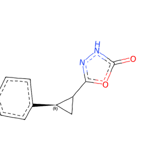 O=c1[nH]nc(C2C[C@H]2c2ccccc2)o1